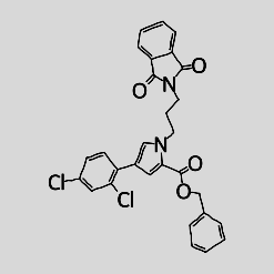 O=C(OCc1ccccc1)c1cc(-c2ccc(Cl)cc2Cl)cn1CCCN1C(=O)c2ccccc2C1=O